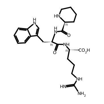 N=C(N)NCCC[C@H](NC(=O)[C@H](Cc1c[nH]c2ccccc12)NC(=O)[C@@H]1CCCCN1)C(=O)O